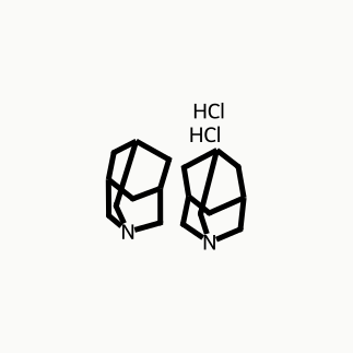 C1C2CC3CC1CN(C2)C3.C1C2CC3CC1CN(C2)C3.Cl.Cl